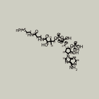 CCCSCCNC(=O)CCNC(=O)C(O)C(C)(C)COP(=O)(O)OP(=O)(O)OC[C@H]1C[C@@H](n2cnc3c(N)ncnc32)C(O)[C@H]1OP(=O)(O)O